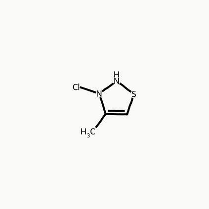 CC1=CSNN1Cl